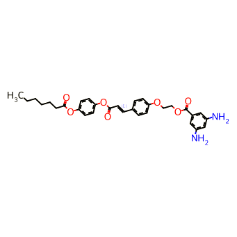 CCCCCCC(=O)Oc1ccc(OC(=O)/C=C/c2ccc(OCCOC(=O)c3cc(N)cc(N)c3)cc2)cc1